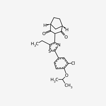 CCc1sc(-c2ccc(OC(C)C)c(Cl)c2)nc1C1C(=O)[C@@H]2CC[C@@H](C2)C1=O